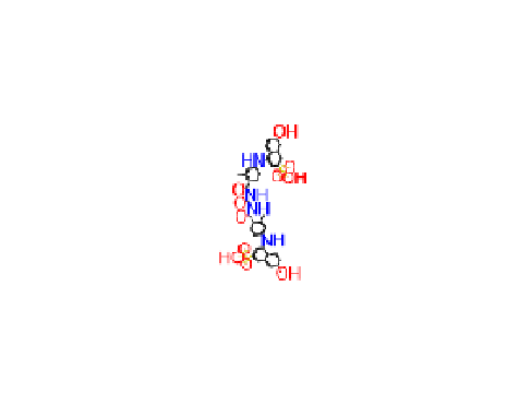 Cc1cc(Nc2cc(S(=O)(=O)O)cc3cc(O)ccc23)ccc1C(=O)NC(=O)NC(=O)c1ccc(Nc2cc(S(=O)(=O)O)cc3cc(O)ccc23)cc1C